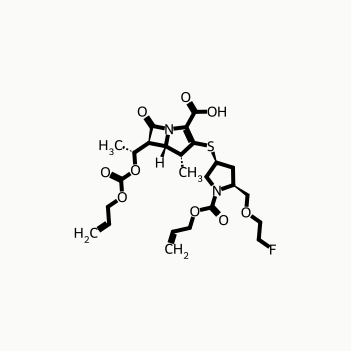 C=CCOC(=O)O[C@H](C)[C@H]1C(=O)N2C(C(=O)O)=C(S[C@H]3C[C@@H](COCCF)N(C(=O)OCC=C)C3)[C@H](C)[C@H]12